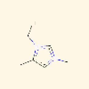 Cc1cn(C)c[n+]1CC=O